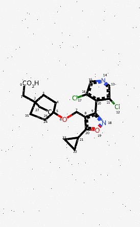 O=C(O)CC12CCC(OCc3c(-c4c(Cl)cncc4Cl)noc3C3CC3)(CC1)CC2